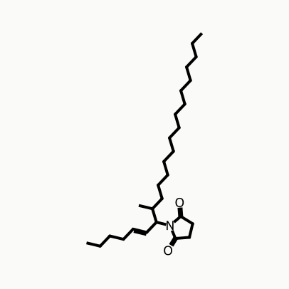 CCCCC=CC(C(C)CCCCCCCCCCCCCCC)N1C(=O)CCC1=O